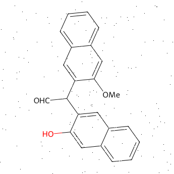 COc1cc2ccccc2cc1C(C=O)c1cc2ccccc2cc1O